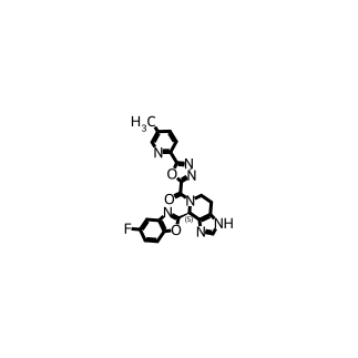 Cc1ccc(-c2nnc(C(=O)N3CCc4[nH]cnc4[C@H]3c3nc4cc(F)ccc4o3)o2)nc1